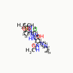 C=CC(=O)Nc1cc(Nc2ncc(Cl)c(Nc3ccccc3S(=O)(=O)C(C)C)n2)c(O)cc1N1CCN(CC2CC2)CC1